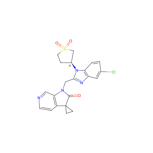 O=C1N(Cc2nc3cc(Cl)ccc3n2[C@H]2CCS(=O)(=O)C2)c2cnccc2C12CC2